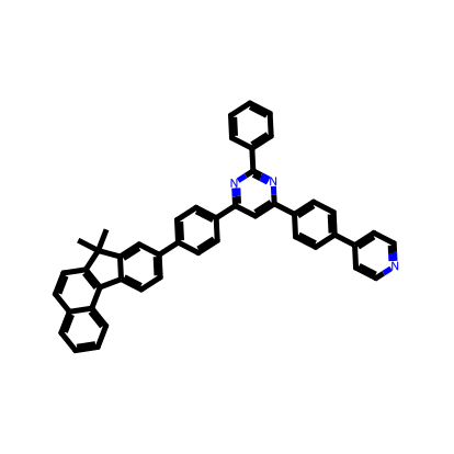 CC1(C)c2cc(-c3ccc(-c4cc(-c5ccc(-c6ccncc6)cc5)nc(-c5ccccc5)n4)cc3)ccc2-c2c1ccc1ccccc21